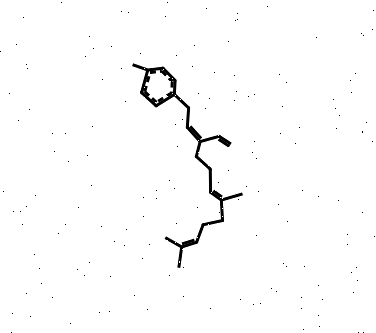 C=C/C(=C\Cc1ccc(C)cc1)CC/C=C(\C)CCC=C(C)C